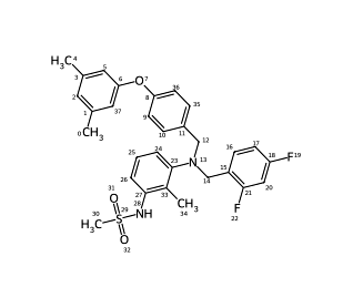 Cc1cc(C)cc(Oc2ccc(CN(Cc3ccc(F)cc3F)c3cccc(NS(C)(=O)=O)c3C)cc2)c1